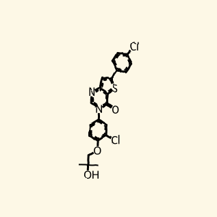 CC(C)(O)COc1ccc(-n2cnc3cc(-c4ccc(Cl)cc4)sc3c2=O)cc1Cl